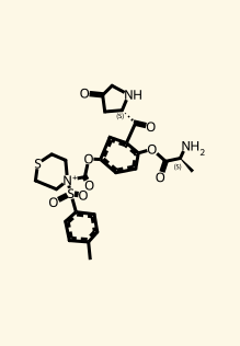 Cc1ccc(S(=O)(=O)[N+]2(C(=O)Oc3ccc(OC(=O)[C@H](C)N)c(C(=O)[C@@H]4CC(=O)CN4)c3)CCSCC2)cc1